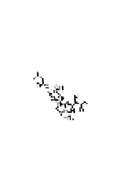 CCC(=O)Nc1nc(NC)c2ncn([C@@H]3O[C@H](COC(=O)CC(C)C)[C@@H](O)[C@@]3(C)F)c2n1